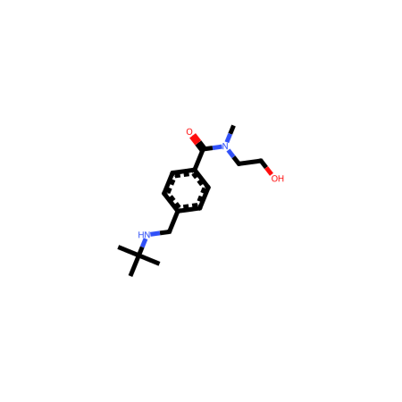 CN(CCO)C(=O)c1ccc(CNC(C)(C)C)cc1